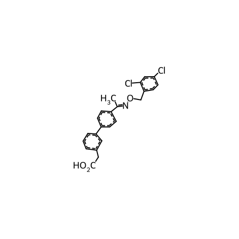 C/C(=N\OCc1ccc(Cl)cc1Cl)c1ccc(-c2cccc(CC(=O)O)c2)cc1